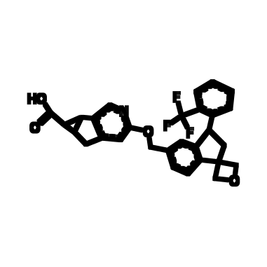 O=C(O)C1C2Cc3cc(OCc4ccc5c(c4)C(c4ccccc4C(F)(F)F)CC54COC4)ncc3C21